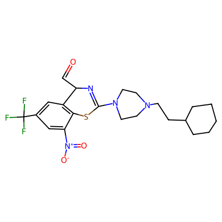 O=CC1N=C(N2CCN(CCC3CCCCC3)CC2)Sc2c1cc(C(F)(F)F)cc2[N+](=O)[O-]